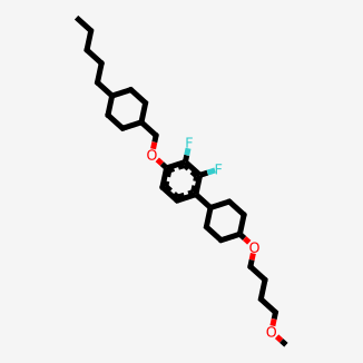 CCCCCC1CCC(COc2ccc(C3CCC(OCCCCOC)CC3)c(F)c2F)CC1